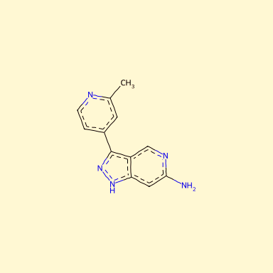 Cc1cc(-c2n[nH]c3cc(N)ncc23)ccn1